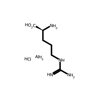 Cl.N=C(N)NCCC[C@H](N)C(=O)O.[AlH3]